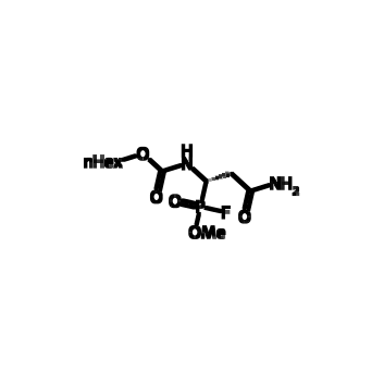 CCCCCCOC(=O)N[C@H](CC(N)=O)P(=O)(F)OC